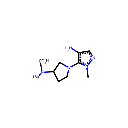 Cn1ncc(N)c1N1CCC(N(C(=O)O)C(C)(C)C)C1